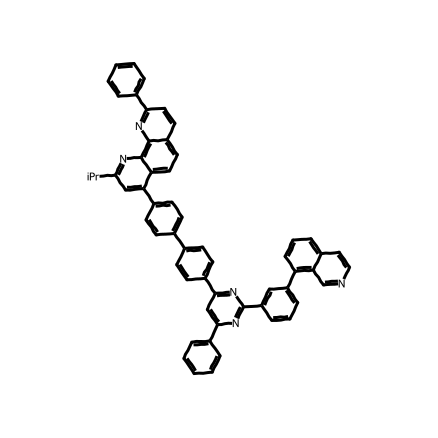 CC(C)c1cc(-c2ccc(-c3ccc(-c4cc(-c5ccccc5)nc(-c5cccc(-c6cccc7ccncc67)c5)n4)cc3)cc2)c2ccc3ccc(-c4ccccc4)nc3c2n1